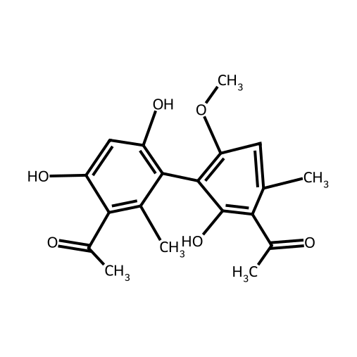 COc1cc(C)c(C(C)=O)c(O)c1-c1c(O)cc(O)c(C(C)=O)c1C